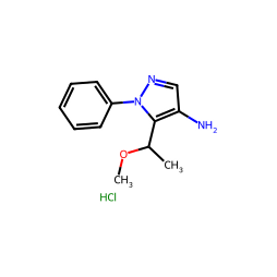 COC(C)c1c(N)cnn1-c1ccccc1.Cl